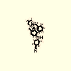 CC(C)CN(Cc1ccc(NC2CCC(C#N)CC2)cc1)S(=O)(=O)Cc1ccccc1